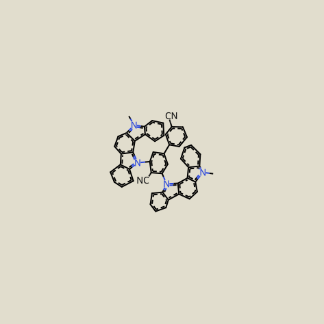 Cn1c2ccccc2c2c1ccc1c3ccccc3n(-c3cc(-c4cccc(C#N)c4)cc(-n4c5ccccc5c5ccc6c(c7ccccc7n6C)c54)c3C#N)c12